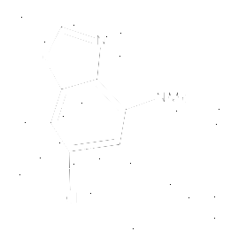 CNc1cc(Cl)cc2scnc12